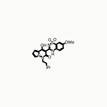 COc1ccc2c(c1)S(=O)(=O)N=C(c1c(O)c3cccn3n(CCC(C)C)c1=O)N2